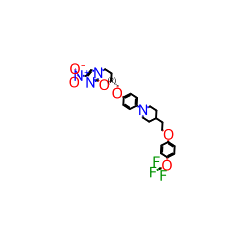 O=[N+]([O-])c1cn2c(n1)O[C@@H](COc1ccc(N3CCC(CCOc4ccc(OC(F)(F)F)cc4)CC3)cc1)CC2